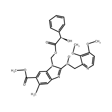 COC(=O)c1cc2c(cc1C)nc([S+]([O-])Cc1nccc(OC)c1OC)n2COC(=O)[C@H](O)c1ccccc1